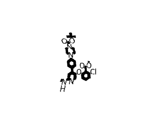 CNc1cc(-c2ccc(N3CCN(C(=O)OC(C)(C)C)CC3)cc2)c(Oc2cccc(Cl)c2C(=O)OC)cn1